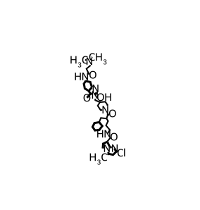 Cc1cc(Cl)nc2c(C(=O)NCCCC(Cc3ccccc3)C(=O)N3CCC(O)(Cn4cnc5cc(NC(=O)CCN(C)C)ccc5c4=O)CC3)ccn12